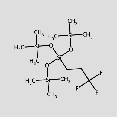 C[Si](C)(C)O[Si](CCC(F)(F)F)(O[Si](C)(C)C)O[Si](C)(C)C